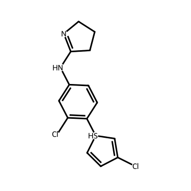 ClC1=C[SH](c2ccc(NC3=NCCC3)cc2Cl)C=C1